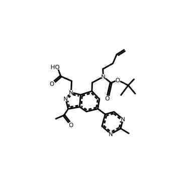 C=CCCN(Cc1cc(-c2cnc(C)nc2)cc2c(C(C)=O)nn(CC(=O)O)c12)C(=O)OC(C)(C)C